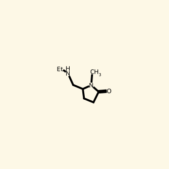 CCNCC1CCC(=O)N1C